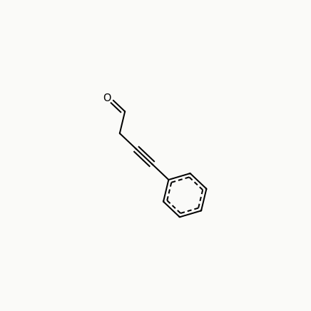 O=CCC#Cc1ccccc1